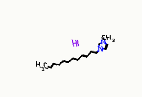 CCCCCCCCCCCCN1C=CN(C)C1.I